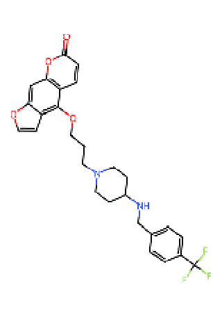 O=c1ccc2c(OCCCN3CCC(NCc4ccc(C(F)(F)F)cc4)CC3)c3ccoc3cc2o1